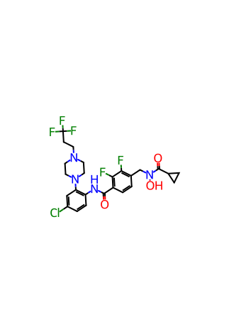 O=C(Nc1ccc(Cl)cc1N1CCN(CCC(F)(F)F)CC1)c1ccc(CN(O)C(=O)C2CC2)c(F)c1F